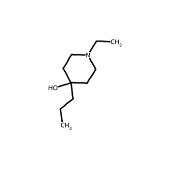 CCCC1(O)CCN(CC)CC1